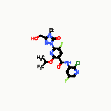 CCn1c(CO)nn(-c2nc(OC(C)C(F)(F)F)c(C(=O)Nc3cc(F)cnc3Cl)cc2F)c1=O